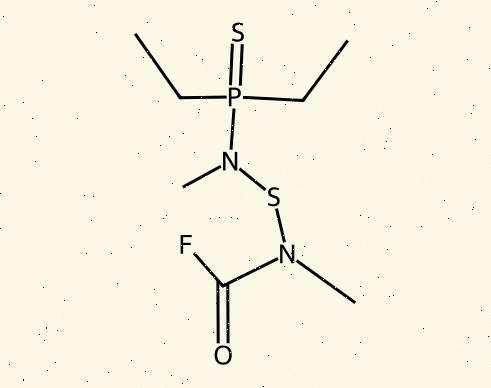 CCP(=S)(CC)N(C)SN(C)C(=O)F